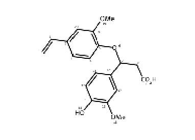 C=Cc1ccc(OC(CC(=O)O)c2ccc(O)c(OC)c2)c(OC)c1